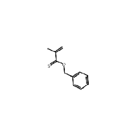 C=C(C)C(=S)OCc1ccccc1